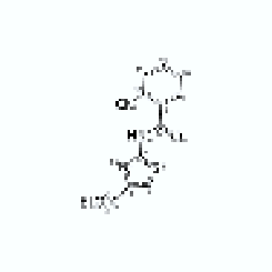 CCOC(=O)c1csc(NC(=O)c2ccccc2Cl)n1